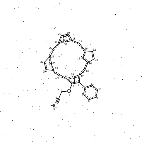 C#CCOc1c(-c2ccccc2)c2cc3nc(cc4ccc(cc5nc(cc1[nH]2)C=C5)[nH]4)C=C3